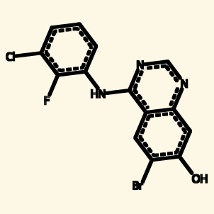 Oc1cc2ncnc(Nc3cccc(Cl)c3F)c2cc1Br